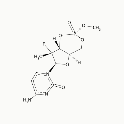 CO[P@]1(=O)OC[C@H]2O[C@@H](n3ccc(N)nc3=O)[C@](C)(F)[C@@H]2O1